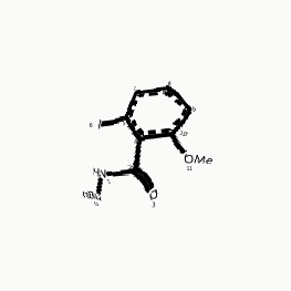 CCCCNC(=O)c1c(I)cccc1OC